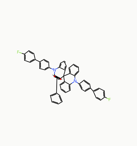 Fc1ccc(-c2ccc(N3c4ccccc4C4(c5ccccc53)c3ccccc3N(c3ccc(-c5ccc(F)cc5)cc3)c3ccc(-c5ccccc5)cc34)cc2)cc1